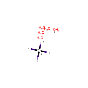 O.O.O.O.O.[I][Cr]([I])([I])[I]